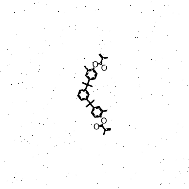 C=C(C)C(=O)Oc1ccc(C(C)(C)c2cccc(C(C)(C)c3ccc(OC(=O)C(=C)C)c(C)c3)c2)cc1C